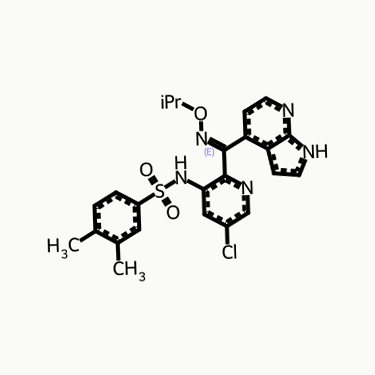 Cc1ccc(S(=O)(=O)Nc2cc(Cl)cnc2/C(=N/OC(C)C)c2ccnc3[nH]ccc23)cc1C